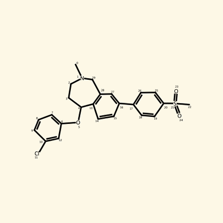 CN1CCC(Oc2cccc(Cl)c2)c2ccc(-c3ccc(S(C)(=O)=O)cc3)cc2C1